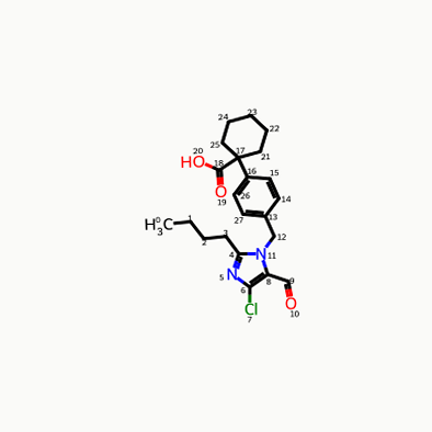 CCCCc1nc(Cl)c(C=O)n1Cc1ccc(C2(C(=O)O)CCCCC2)cc1